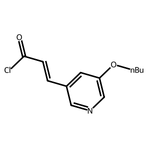 CCCCOc1cncc(/C=C/C(=O)Cl)c1